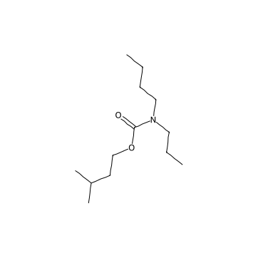 CCCCN(CCC)C(=O)OCCC(C)C